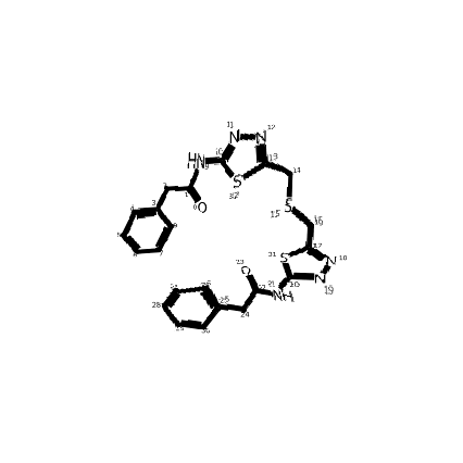 O=C(Cc1ccccc1)Nc1nnc(CSCc2nnc(NC(=O)Cc3ccccc3)s2)s1